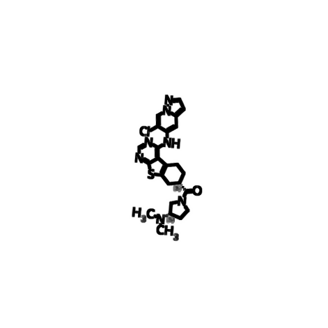 CN(C)[C@H]1CCN(C(=O)[C@H]2CCc3c(sc4ncnc(Nc5cc6ccnn6cc5Cl)c34)C2)C1